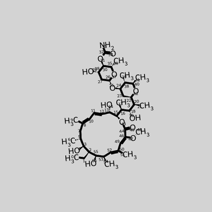 CC[C@H]1[C@@H](O)[C@H](C)C/C(C)=C/C=C/[C@H](O)[C@@H]([C@@H](C)[C@@H](O)[C@H](C)[C@H]2C[C@@H](O[C@@H]3C[C@H](O)[C@@H](OC(N)=O)[C@H](C)O3)[C@H](C)[C@@H](C)O2)OC(=O)/C(OC)=C/C(C)=C/[C@@H](C)[C@H]1O